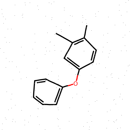 Cc1ccc(Oc2[c]cccc2)cc1C